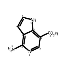 CCOC(=O)c1cnc(N)c2cc[nH]c12